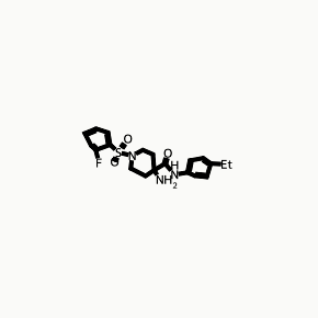 CCc1ccc(NC(=O)C2(N)CCN(S(=O)(=O)c3ccccc3F)CC2)cc1